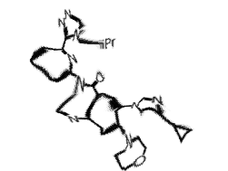 CC(C)n1cnnc1-c1cccc(-n2cnc3cc(N4CCOCC4)c(-n4cnc(C5CC5)c4)cc3c2=O)n1